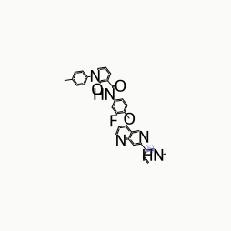 C=C/C(=C\NC)c1cc2nccc(Oc3ccc(NC(=O)c4cccn(-c5ccc(C)cc5)c4=O)cc3F)c2cn1